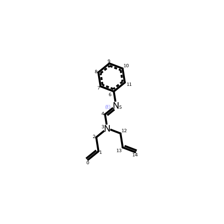 C=CCN(/C=N/c1ccccc1)CC=C